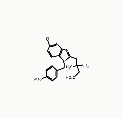 CSc1ccc(Cn2c(CC(C)(C)CC(=O)O)nc3nc(Cl)ccc32)cc1